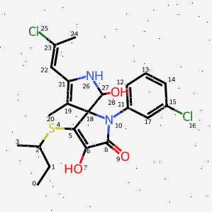 CCC(C)SC1=C(O)C(=O)N(c2cccc(Cl)c2)C12C(C)=C(/C=C(\C)Cl)NC2O